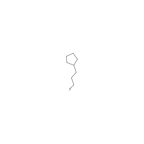 ICCCC1CCCC1